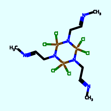 CN=CCN1S(Cl)(Cl)N(CC=NC)S(Cl)(Cl)N(CC=NC)S1(Cl)Cl